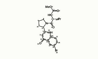 COC(=O)NC(C(=O)N1CCCC1c1cc(=O)c2cc(Br)ccc2[nH]1)C(C)C